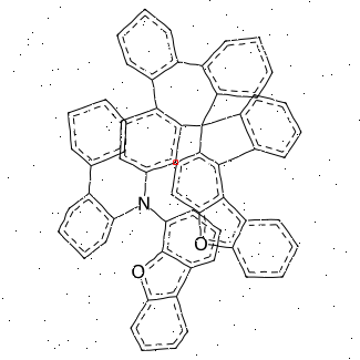 c1ccc(-c2ccccc2N(c2ccc3c(c2)C2(c4ccccc4-c4ccccc4-3)c3ccccc3-c3c2ccc2oc4ccccc4c32)c2cccc3c2oc2ccccc23)cc1